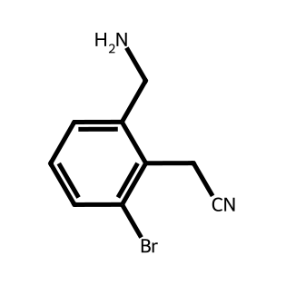 N#CCc1c(Br)cccc1CN